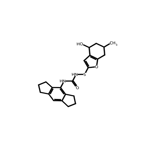 CC1Cc2oc(SNC(=O)Nc3c4c(cc5c3CCC5)CCC4)cc2C(O)C1